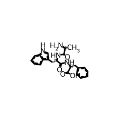 C[C@H](N)C(=O)N[C@@H](Cc1c[nH]c2ccccc12)C(=O)N[C@@H](Cc1ccccc1)C(=O)O